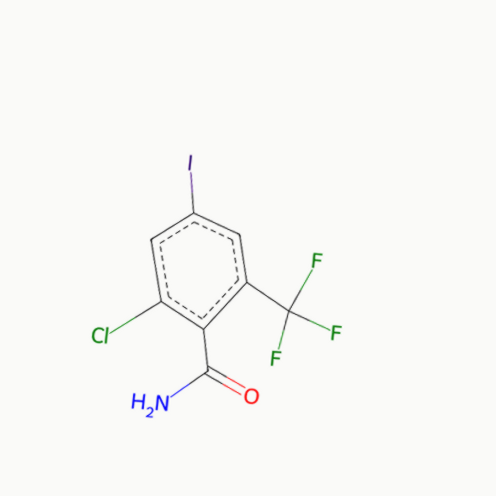 NC(=O)c1c(Cl)cc(I)cc1C(F)(F)F